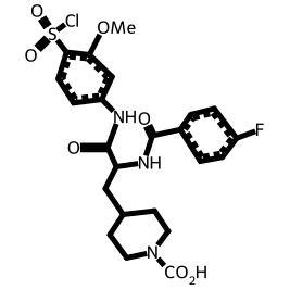 COc1cc(NC(=O)C(CC2CCN(C(=O)O)CC2)NC(=O)c2ccc(F)cc2)ccc1S(=O)(=O)Cl